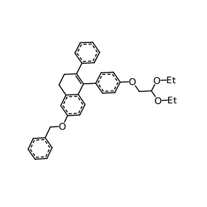 CCOC(COc1ccc(C2=C(c3ccccc3)CCc3cc(OCc4ccccc4)ccc32)cc1)OCC